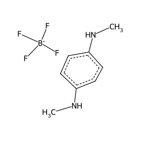 CNc1ccc(NC)cc1.F[B-](F)(F)F